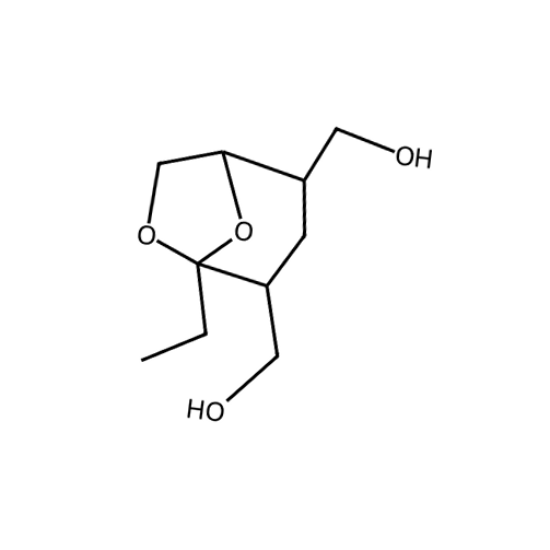 CCC12OCC(O1)C(CO)CC2CO